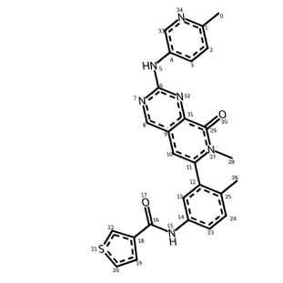 Cc1ccc(Nc2ncc3cc(-c4cc(NC(=O)c5ccsc5)ccc4C)n(C)c(=O)c3n2)cn1